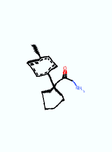 Cc1ccc(C2(C(N)=O)CCCC2)cc1